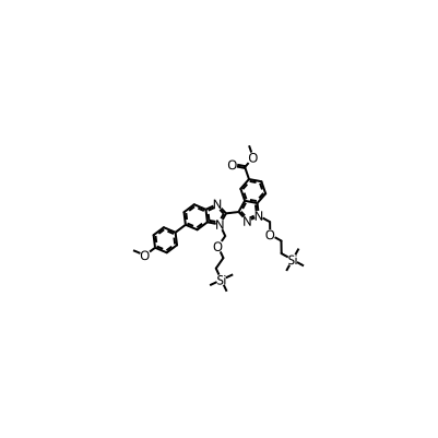 COC(=O)c1ccc2c(c1)c(-c1nc3ccc(-c4ccc(OC)cc4)cc3n1COCC[Si](C)(C)C)nn2COCC[Si](C)(C)C